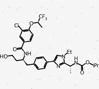 CCn1cc(-c2ccc(C[C@@H](CCO)NC(=O)c3ccc(O[C@H](C)C(F)(F)F)c(Cl)c3)cc2)nc1[C@@H](C)NC(=O)OC(C)C